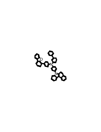 C1=C(c2ccccc2)CCC=C1N(c1ccc(-c2cccc3c2oc2ccccc23)cc1)c1ccc(-n2c3ccccc3c3c4ccccc4ccc32)cc1